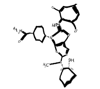 CN(c1ncc2nc(Nc3c(Cl)cc(Cl)cc3Cl)n([C@H]3CC[C@H](C(N)=O)CC3)c2n1)[C@H]1CCCC[C@H]1O